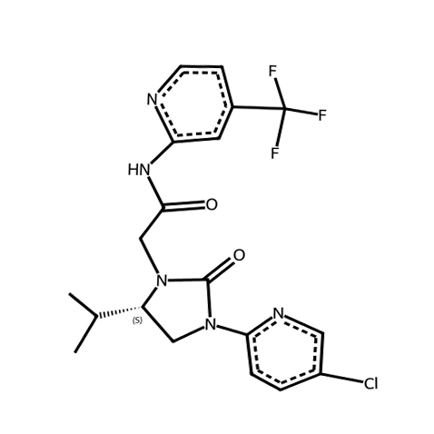 CC(C)[C@H]1CN(c2ccc(Cl)cn2)C(=O)N1CC(=O)Nc1cc(C(F)(F)F)ccn1